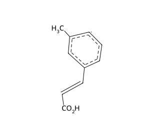 Cc1[c]ccc(C=CC(=O)O)c1